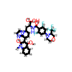 COc1c(-c2ccc(CC(NC(=O)c3c(F)cc(N4CCOCC4C(F)(F)F)cc3F)C(=O)O)n3ccnc23)c(=O)n(C)c2ccccc12